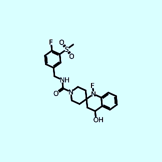 CS(=O)(=O)c1cc(CNC(=O)N2CCC3(CC2)CC(O)c2ccccc2N3F)ccc1F